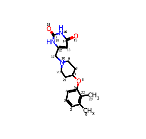 Cc1cccc(OC2CCN(Cc3cc(=O)[nH]c(=O)[nH]3)CC2)c1C